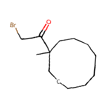 CC1(C(=O)CBr)CCCCCCCCC1